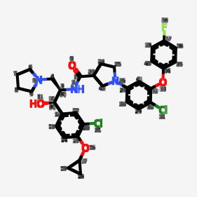 O=C(N[C@H](CN1CCCC1)[C@H](O)c1ccc(OC2CC2)c(Cl)c1)C1CCN(c2ccc(Cl)c(Oc3ccc(F)cc3)c2)C1